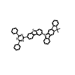 CC1(C)c2ccccc2-c2cc3c(cc21)c1ccccc1n3-c1ccc2sc3cc(-c4nc(-c5ccccc5)nc(-c5ccccc5)n4)ccc3c2c1